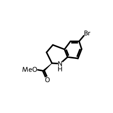 COC(=O)[C@H]1CCc2cc(Br)ccc2N1